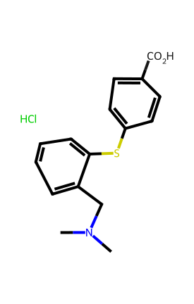 CN(C)Cc1ccccc1Sc1ccc(C(=O)O)cc1.Cl